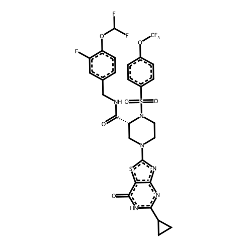 O=C(NCc1ccc(OC(F)F)c(F)c1)[C@H]1CN(c2nc3nc(C4CC4)[nH]c(=O)c3s2)CCN1S(=O)(=O)c1ccc(OC(F)(F)F)cc1